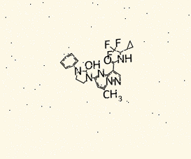 Cc1cc(N2CCN(c3ccccc3)C2O)nc2c(C(=O)N[C@H](C3CC3)C(F)(F)F)cnn12